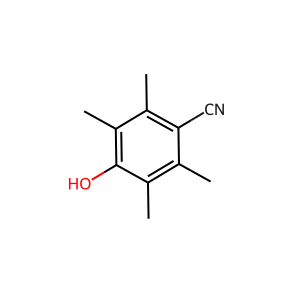 Cc1c(C)c(C#N)c(C)c(C)c1O